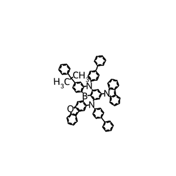 CC(C)(c1ccccc1)c1ccc2c(c1)N(c1ccc(-c3ccccc3)cc1)c1cc(-n3c4ccccc4c4ccccc43)cc3c1B2c1cc2oc4ccccc4c2cc1N3c1ccc(-c2ccccc2)cc1